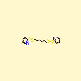 c1ccc(SSCCCCCCSSc2ccccn2)nc1